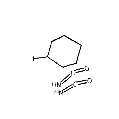 IC1CCCCC1.N=C=O.N=C=O